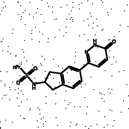 CCCS(=O)(=O)NC1Cc2ccc(-c3ccc(=O)[nH]n3)cc2C1